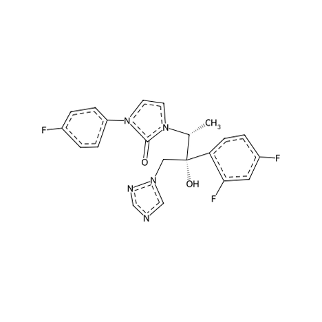 C[C@@H](n1ccn(-c2ccc(F)cc2)c1=O)[C@](O)(Cn1cncn1)c1ccc(F)cc1F